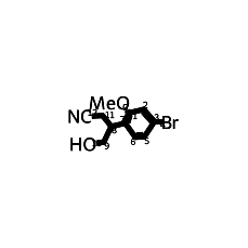 COc1cc(Br)ccc1C(CO)CC#N